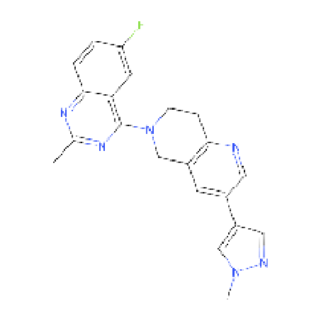 Cc1nc(N2CCc3ncc(-c4cnn(C)c4)cc3C2)c2cc(F)ccc2n1